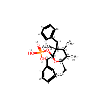 CC(=O)OC[C@H]1O[C@](Cc2ccccc2)(OP(=O)(O)O)[C@@](Cc2ccccc2)(OC(C)=O)[C@@H](OC(C)=O)[C@H]1OC(C)=O